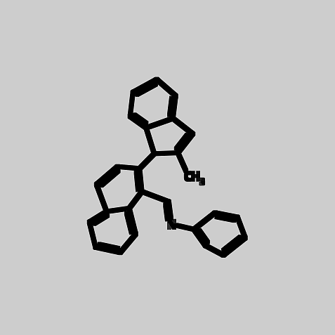 CC1=Cc2ccccc2C1c1ccc2ccccc2c1C=Nc1ccccc1